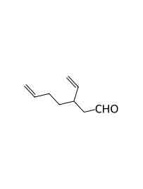 C=CCCC(C=C)CC=O